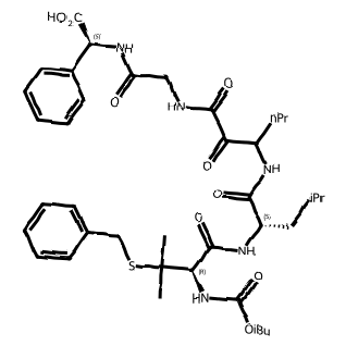 CCCC(NC(=O)[C@H](CC(C)C)NC(=O)[C@@H](NC(=O)OCC(C)C)C(C)(C)SCc1ccccc1)C(=O)C(=O)NCC(=O)N[C@H](C(=O)O)c1ccccc1